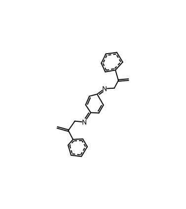 C=C(CN=C1C=CC(=NCC(=C)c2ccccc2)C=C1)c1ccccc1